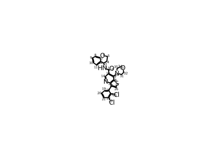 O=C(NC1CCOc2ccccc21)c1cnc2c(-c3cccc(Cl)c3Cl)csc2c1N1CCOCC1